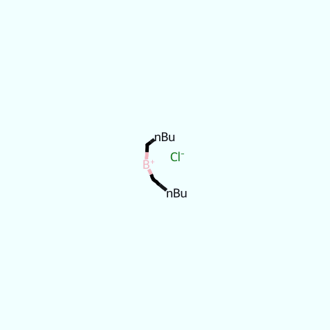 CCCCC[B+]CCCCC.[Cl-]